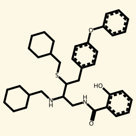 O=C(NCC(NCC1CCCCC1)C(Cc1ccc(Oc2ccccc2)cc1)SCC1CCCCC1)c1ccccc1O